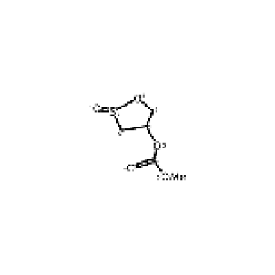 COC(=O)OC1COS(=O)C1